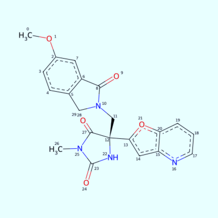 COc1ccc2c(c1)C(=O)N(C[C@@]1(c3cc4ncccc4o3)NC(=O)N(C)C1=O)C2